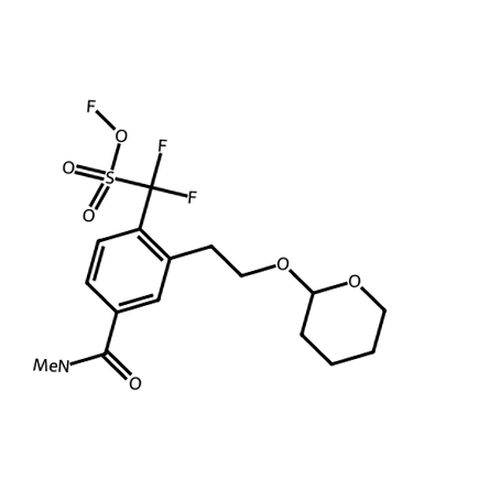 CNC(=O)c1ccc(C(F)(F)S(=O)(=O)OF)c(CCOC2CCCCO2)c1